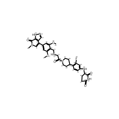 COc1cc(-c2cn(C)c(=O)c3[nH]ncc23)cc(OC)c1CNCC(=O)N1CCC(c2ccc(NC3CCC(=O)NC3=O)cc2F)CC1